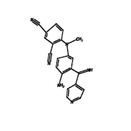 CN(c1ccc(N)c(C(=N)c2ccncc2)c1)c1ccc(C#N)cc1C#N